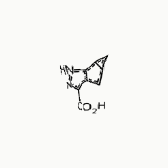 O=C(O)c1n[nH]c2c3cc-3cc12